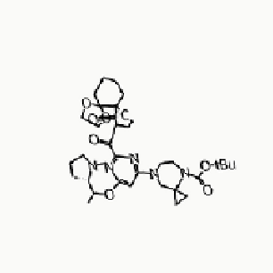 C[C@H](Oc1cc(N2CCN(C(=O)OC(C)(C)C)C3(CC3)C2)nc(C(=O)C2CCC[C@@]3(CCCCC34OCCO4)C2=O)n1)[C@@H]1CCCN1C